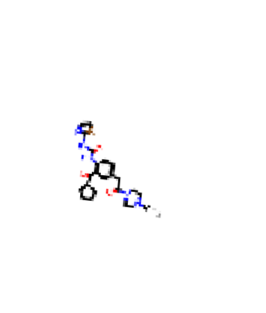 CN1CCN(C(=O)Cc2ccc(NC(=O)Nc3nccs3)c(C(=O)C3CCCC3)c2)CC1